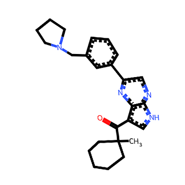 CC1(C(=O)c2c[nH]c3ncc(-c4cccc(CN5CCCC5)c4)nc23)CCCCC1